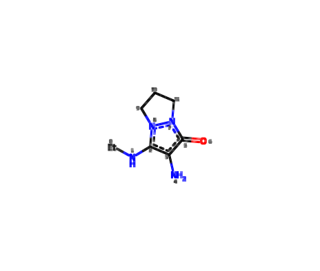 CCNc1c(N)c(=O)n2n1CCC2